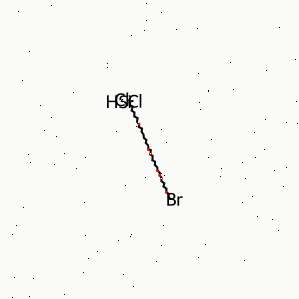 Cl[SiH](Cl)CCCCCCCCCCCCCCCCCCCCCCCCCCCCCCCCCCCBr